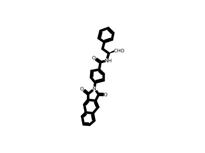 O=C[C@H](Cc1ccccc1)NC(=O)c1ccc(N2C(=O)c3cc4ccccc4cc3C2=O)cc1